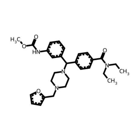 CCN(CC)C(=O)c1ccc(C(c2cccc(NC(=O)OC)c2)N2CCN(Cc3ccco3)CC2)cc1